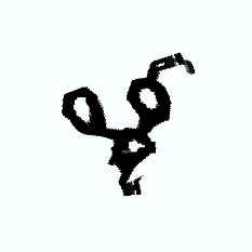 Cc1ccc(-c2sc(S)nc2-c2ccccc2)cc1